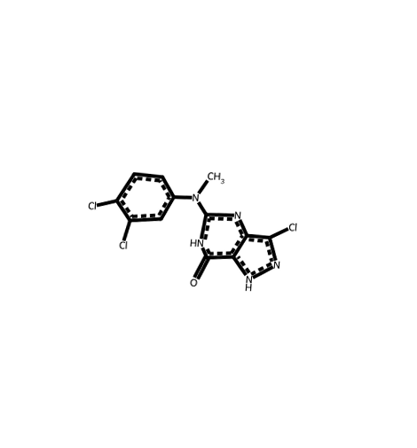 CN(c1ccc(Cl)c(Cl)c1)c1nc2c(Cl)n[nH]c2c(=O)[nH]1